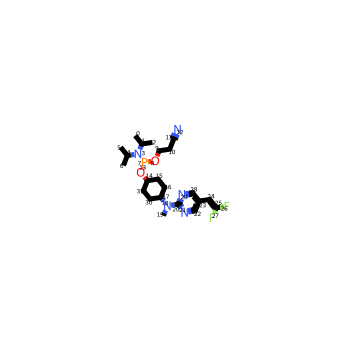 CC(C)N(C(C)C)P(OCCC#N)OC1CCC(N(C)c2ncc(C=C(F)F)cn2)CC1